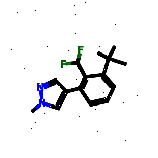 Cn1cc(-c2cccc(C(C)(C)C)c2C(F)F)cn1